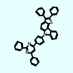 c1ccc(-c2cc(-c3ccc(-n4c5ccccc5c5c6sc(-c7ccccc7)c(-c7ccccc7)c6ccc54)cc3)nc(-c3ccccc3)n2)cc1